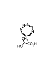 C1=CN=NN=NN=C1.CC(O)C(=O)O